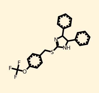 FC(F)(F)Oc1ccc(CSC2=NC(c3ccccc3)C(c3ccccc3)N2)cc1